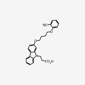 N#Cc1ccccc1OCCCCOc1ccc2c3ccccc3n(CCC(=O)O)c2c1